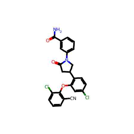 N#Cc1cccc(Cl)c1Oc1cc(Cl)ccc1C1CC(=O)N(c2cccc(C(N)=O)c2)C1